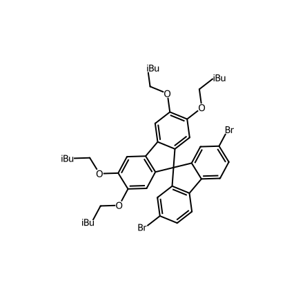 CCC(C)COc1cc2c(cc1OCC(C)CC)C1(c3cc(Br)ccc3-c3ccc(Br)cc31)c1cc(OCC(C)CC)c(OCC(C)CC)cc1-2